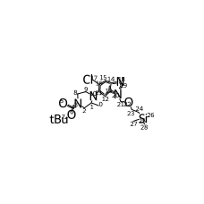 CC1CN(C(=O)OC(C)(C)C)CCN1c1cc2c(cc1Cl)ncn2COCC[Si](C)(C)C